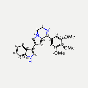 COc1cc(C2=NCCn3cc(-c4c[nH]c5ccccc45)cc32)cc(OC)c1OC